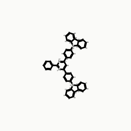 c1ccc(-c2nc(-c3ccc(-n4c5ccccc5c5ccccc54)cc3)cc(-c3ccc(-n4c5ccccc5c5ccccc54)cc3)n2)cc1